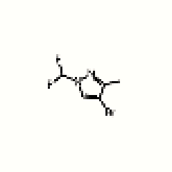 Cc1nn(C(F)F)cc1Br